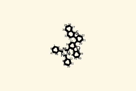 c1ccc(-c2nc(-c3ccccc3)nc(-c3ccc(-c4cccc5sc6c7ccccc7ccc6c45)c4oc5ccccc5c34)n2)cc1